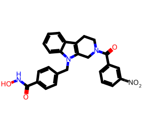 O=C(NO)c1ccc(Cn2c3c(c4ccccc42)CCN(C(=O)c2cccc([N+](=O)[O-])c2)C3)cc1